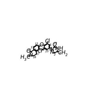 C=C1C=NN(c2cc(Cl)c(Oc3ccc4c(c3)CCN(C)C4=O)c(Cl)c2)C(=O)N1